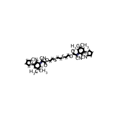 CC1(C)CC(N2CCCC2)=C(C#N)/C(=C(\C#N)C(=O)OCCSCCSCCOC(=O)/C(C#N)=C2\CC(C)(C)CC(N3CCCC3)=C2C#N)C1